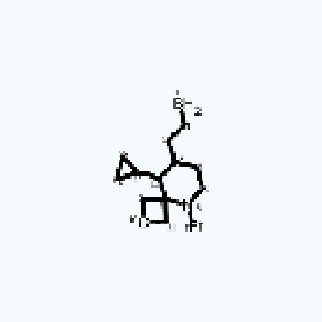 BCCC1CCN(CC)C2(COC2)C1C1CC1